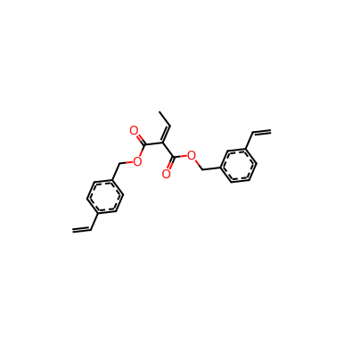 C=Cc1ccc(COC(=O)/C(=C\C)C(=O)OCc2cccc(C=C)c2)cc1